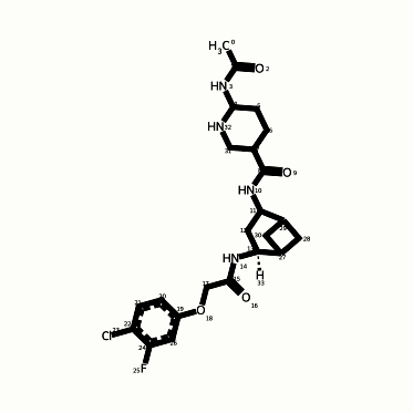 CC(=O)NC1CCC(C(=O)NC2C[C@H](NC(=O)COc3ccc(Cl)c(F)c3)C3CC2C3)CN1